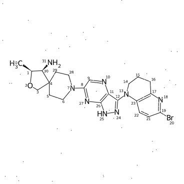 C[C@@H]1OCC2(CCN(c3cnc4c(N5CCCc6nc(Br)ccc65)n[nH]c4n3)CC2)[C@@H]1N